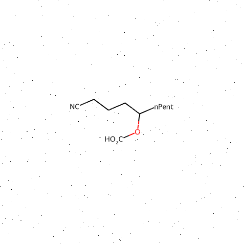 CCCCCC(CCCC#N)OC(=O)O